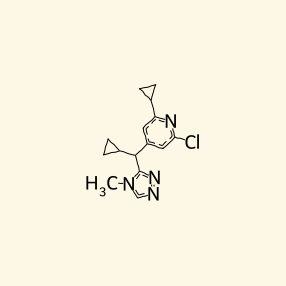 Cn1cnnc1C(c1cc(Cl)nc(C2CC2)c1)C1CC1